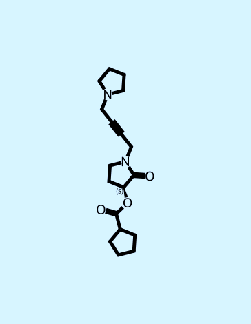 O=C(O[C@H]1CCN(CC#CCN2CCCC2)C1=O)C1CCCC1